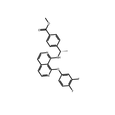 COC(=O)c1ccc([C@H](C)Nc2nccc3ccnc(Oc4ccc(F)c(F)c4)c23)cc1